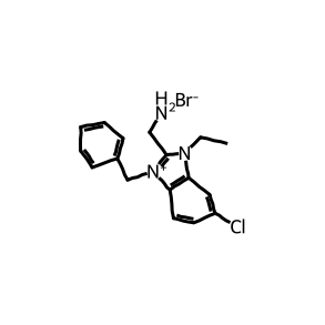 CCn1c(CN)[n+](Cc2ccccc2)c2ccc(Cl)cc21.[Br-]